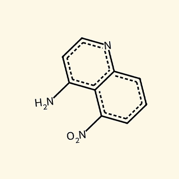 Nc1ccnc2cccc([N+](=O)[O-])c12